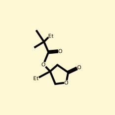 CCC1(OC(=O)C(C)(C)CC)COC(=O)C1